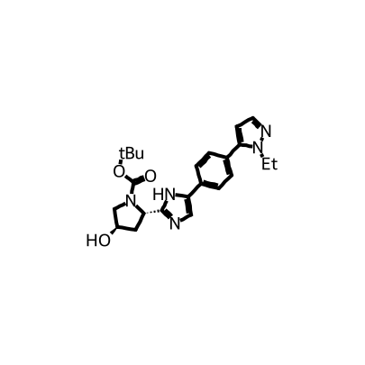 CCn1nccc1-c1ccc(-c2cnc([C@@H]3C[C@@H](O)CN3C(=O)OC(C)(C)C)[nH]2)cc1